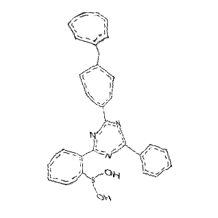 OB(O)c1ccccc1-c1nc(-c2ccccc2)nc(-c2ccc(-c3ccccc3)cc2)n1